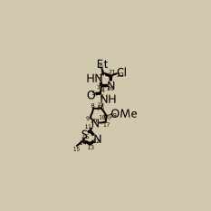 CCc1[nH]c(C(=O)N[C@@H]2CCN(c3ncc(C)s3)C[C@H]2OC)nc1Cl